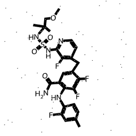 COCC(C)(C)NS(=O)(=O)Nc1nccc(Cc2cc(C(N)=O)c(Nc3ccc(C)cc3F)c(F)c2F)c1F